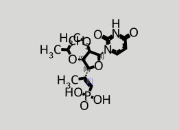 COC1[C@@H](OC(C)C)[C@@H](/C(C)=C/P(=O)(O)O)O[C@H]1n1ccc(=O)[nH]c1=O